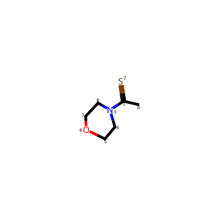 CC(=S)N1CCOCC1